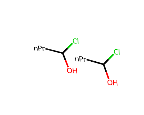 CCCC(O)Cl.CCCC(O)Cl